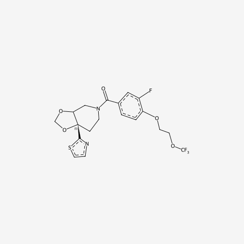 O=C(c1ccc(OCCOC(F)(F)F)c(F)c1)N1CC[C@]2(c3nccs3)OCOC2C1